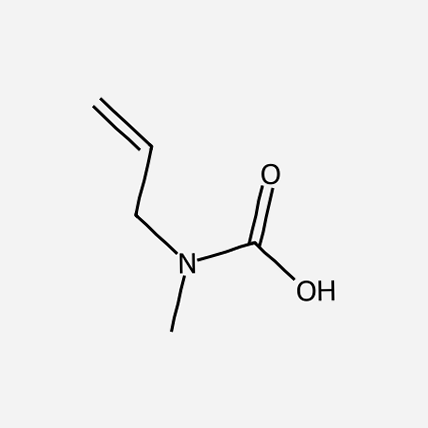 C=CCN(C)C(=O)O